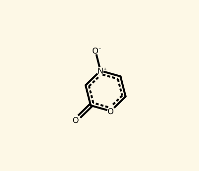 O=c1c[n+]([O-])cco1